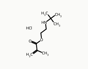 C=C(C)C(=O)OCCNC(C)(C)C.Cl